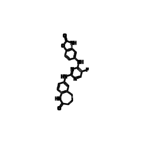 O=C1CCCc2cc(Nc3ncc(F)c(Nc4ccc5oc(=O)[nH]c5c4)n3)ccc2N1